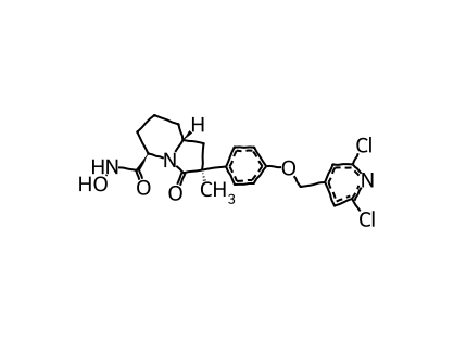 C[C@@]1(c2ccc(OCc3cc(Cl)nc(Cl)c3)cc2)C[C@H]2CCC[C@H](C(=O)NO)N2C1=O